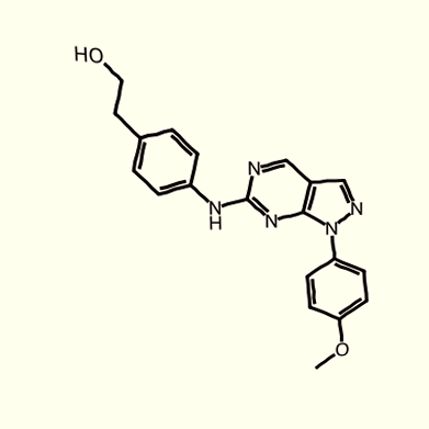 COc1ccc(-n2ncc3cnc(Nc4ccc(CCO)cc4)nc32)cc1